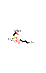 CCCCCCC(=O)C[S+](C)OS(=O)(=O)CCCCC(C)(C)C